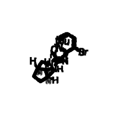 CC(C)(C)OC(=O)N1C[C@H]2CC[C@@H](C1)[C@@H]2Nc1nc2c(Br)cccn2n1